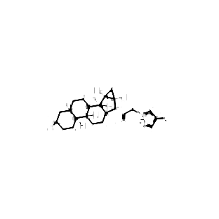 C[C@@]1(O)CC[C@H]2[C@H](CC[C@@H]3[C@@H]2CC[C@@]2(C)[C@H]3[C@@H]3C[C@@H]3[C@@H]2C(=O)Cn2cc(C(F)(F)F)cn2)C1